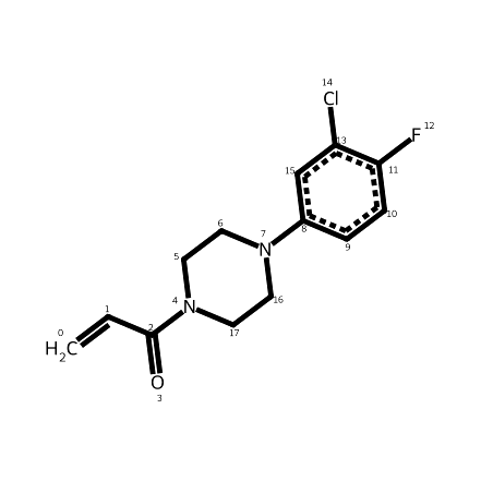 C=CC(=O)N1CCN(c2ccc(F)c(Cl)c2)CC1